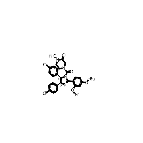 CC(C)Oc1cc(OC(C)(C)C)ccc1C1=N[C@@H](c2ccc(Cl)cc2)[C@@H](c2ccc(Cl)cc2)N1C(=O)N1CCN(C)C(=O)C1